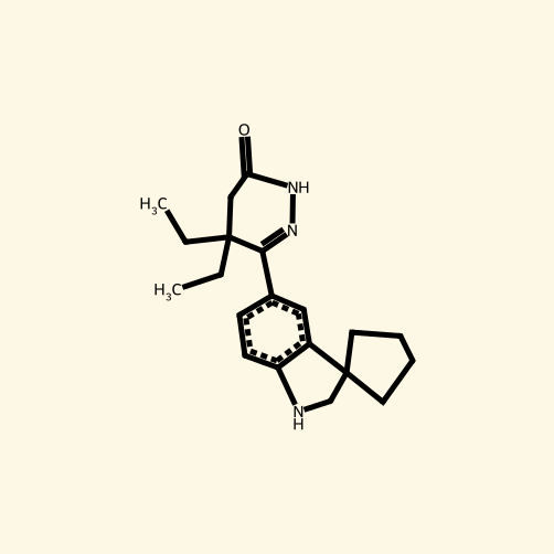 CCC1(CC)CC(=O)NN=C1c1ccc2c(c1)C1(CCCC1)CN2